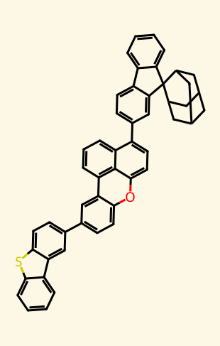 c1ccc2c(c1)-c1ccc(-c3ccc4c5c(cccc35)-c3cc(-c5ccc6sc7ccccc7c6c5)ccc3O4)cc1C21C2CC3CC(C2)CC1C3